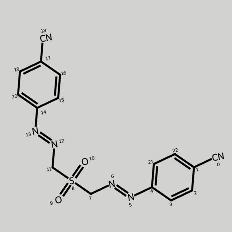 N#Cc1ccc(N=NCS(=O)(=O)CN=Nc2ccc(C#N)cc2)cc1